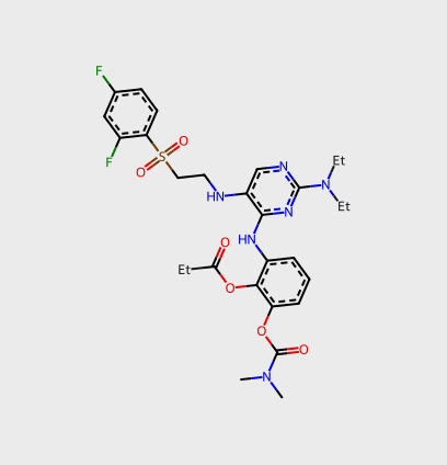 CCC(=O)Oc1c(Nc2nc(N(CC)CC)ncc2NCCS(=O)(=O)c2ccc(F)cc2F)cccc1OC(=O)N(C)C